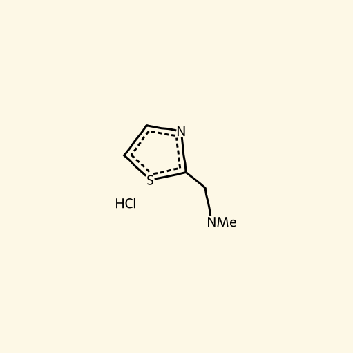 CNCc1nccs1.Cl